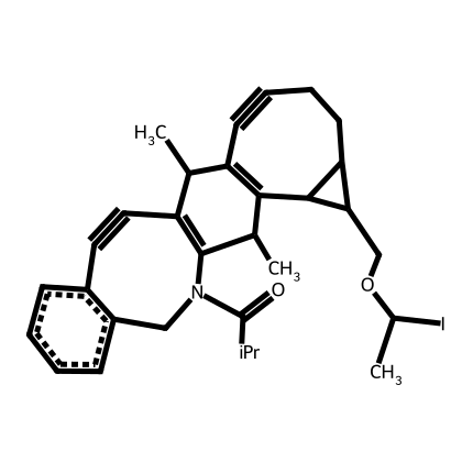 CC(I)OCC1C2CCC#CC3=C(C(C)C4=C(C#Cc5ccccc5CN4C(=O)C(C)C)C3C)C21